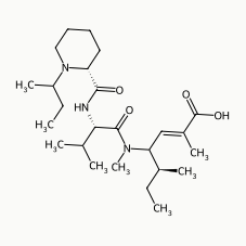 CCC(C)N1CCCC[C@@H]1C(=O)N[C@H](C(=O)N(C)C(/C=C(\C)C(=O)O)[C@@H](C)CC)C(C)C